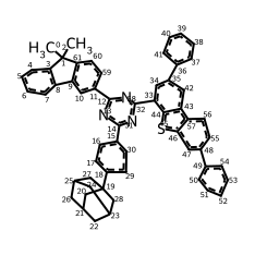 CC1(C)c2ccccc2-c2cc(-c3nc(-c4ccc(C56CC7CC(CC(C7)C5)C6)cc4)nc(-c4cc(-c5ccccc5)cc5c4sc4cc(-c6ccccc6)ccc45)n3)ccc21